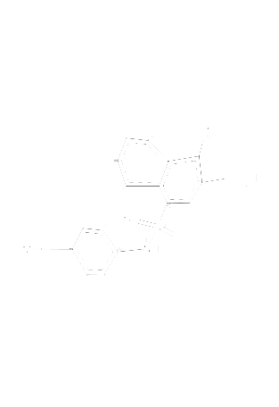 COc1ccc(NS(=O)(=O)c2cc(C(=O)O)c(O)c3ccccc23)cc1